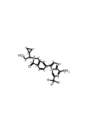 Nc1nc(C(F)(F)F)cn2c(-c3ccc4c(c3)CN(C(CO)C3CC3)C4=O)cnc12